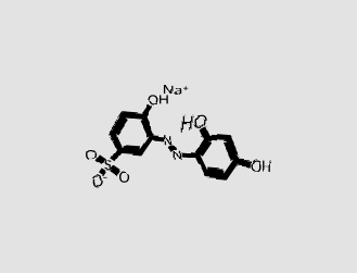 O=S(=O)([O-])c1ccc(O)c(N=Nc2ccc(O)cc2O)c1.[Na+]